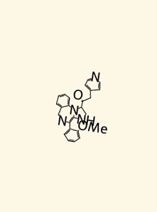 COc1ccccc1C1=C2NCC(C(=O)Cc3ccncc3)N2c2ccccc2C=N1